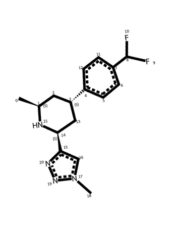 C[C@H]1C[C@H](c2ccc(C(F)F)cc2)C[C@@H](c2cn(C)nn2)N1